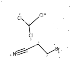 ClC(Cl)Cl.N#CCCBr